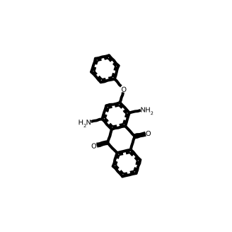 Nc1cc(Oc2ccccc2)c(N)c2c1C(=O)c1ccccc1C2=O